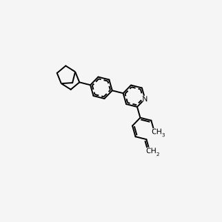 C=C/C=C\C(=C/C)c1cc(-c2ccc(C3CC4CCC3C4)cc2)ccn1